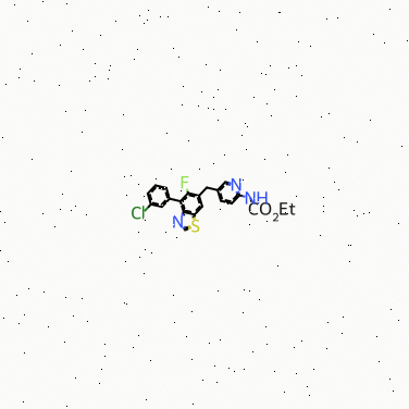 CCOC(=O)Nc1ccc(Cc2cc3scnc3c(-c3cccc(Cl)c3)c2F)cn1